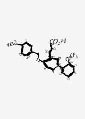 CC(C)(C)c1ccc(COc2ccc(-c3ccccc3OC(F)(F)F)cc2CCC(=O)O)cc1